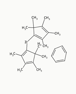 CC1=C(C)C(C)(C)[C]([Zr][C]2=C(C)C(C)=C(C)C2(C)C)=C1C.c1ccccc1